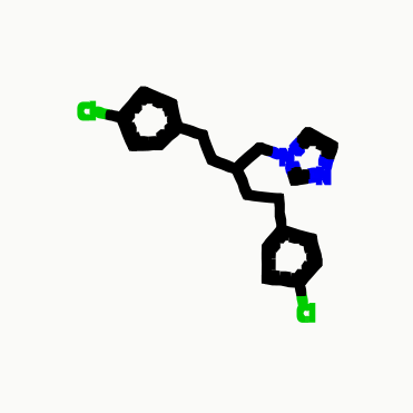 Clc1ccc(CCC(CCc2ccc(Cl)cc2)Cn2ccnc2)cc1